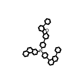 c1ccc(-c2ccc3cccc(-c4ccc(N(c5ccc(-c6ccc7oc8c(-c9ccccc9)cccc8c7c6)cc5)c5ccc6c(ccc7ccccc76)c5)cc4)c3c2)cc1